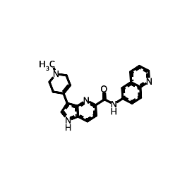 CN1CC=C(c2c[nH]c3ccc(C(=O)Nc4ccc5ncccc5c4)nc23)CC1